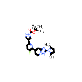 Cc1ccc(C)n1-c1nc2cc(-c3nc(-c4cnn(C(=O)OC(C)(C)C)c4)ccc3F)ccn2n1